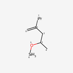 C=C(CC(C)O[SiH3])C(C)C